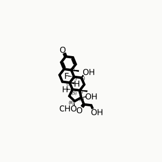 C[C@]12C=CC(=O)C=C1CC[C@H]1[C@@H]3C[C@@H](C=O)[C@](O)(C(=O)CO)[C@@]3(C)C[C@H](O)[C@@]12F